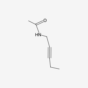 CCC#CCNC(C)=O